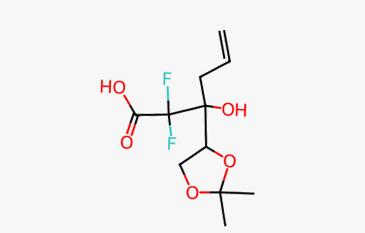 C=CCC(O)(C1COC(C)(C)O1)C(F)(F)C(=O)O